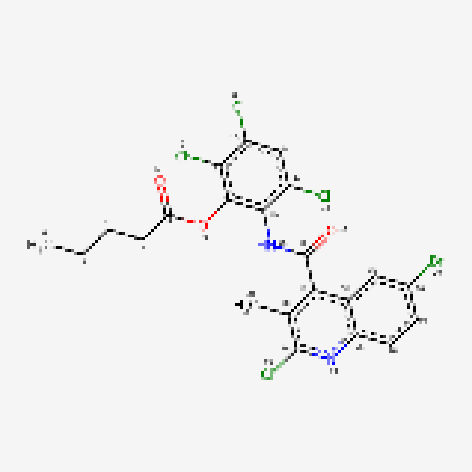 CCCCC(=O)Oc1c(Cl)c(Cl)cc(Cl)c1NC(=O)c1c(C)c(Cl)nc2ccc(Br)cc12